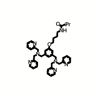 CC(C)C(=O)NCCCCOc1cc(CN(Cc2ccccn2)Cc2ccccn2)cc(CN(Cc2ccccn2)Cc2ccccn2)c1